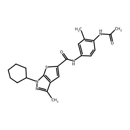 CC(=O)Nc1ccc(NC(=O)c2cc3c(C)nn(C4CCCCC4)c3s2)cc1C